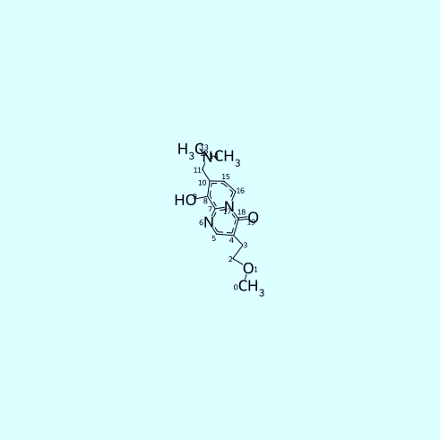 COCCc1cnc2c(O)c(CN(C)C)ccn2c1=O